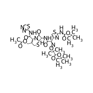 CC(=O)OCC1=C(C(=O)Nc2nncs2)N2C(=O)[C@@H](NC(=O)/C(=N\OC(C)(C)C(=O)OC(C)(C)C)c3csc(NC(=O)OC(C)(C)C)n3)[C@H]2SC1